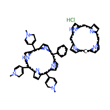 C1=Cc2cc3ccc(cc4nc(cc5ccc(cc1n2)[nH]5)C=C4)[nH]3.CN1C=CC(c2c3nc(c(C4=CCN(C)C=C4)c4ccc([nH]4)c(-c4ccccc4)c4nc(c(C5=CCN(C)C=C5)c5ccc2[nH]5)C=C4)C=C3)=CC1.Cl